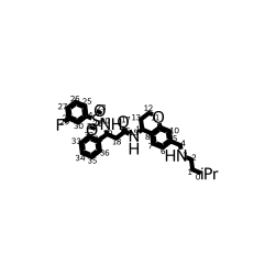 CC(C)CCNCc1ccc2c(c1)OCCC2NC(=O)CC(NS(=O)(=O)c1cccc(F)c1)c1ccccc1